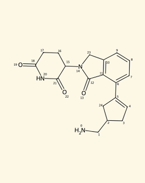 NCC1CC=C(c2cccc3c2C(=O)N(C2CCC(=O)NC2=O)C3)C1